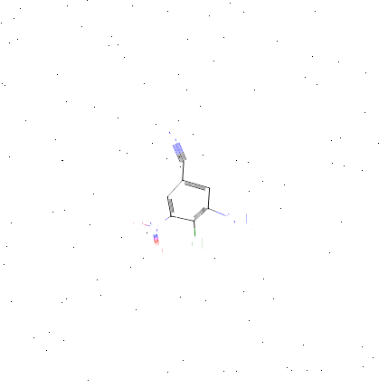 N#Cc1cc(N)c(Cl)c([N+](=O)[O-])c1